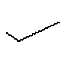 CCCCCCCCC=CCCCCCCCC[CH]CCCCCCC/C=C\CCCCCCCC